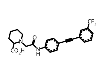 O=C(CN1CCCCC1C(=O)O)Nc1ccc(C#Cc2cccc(C(F)(F)F)c2)cc1